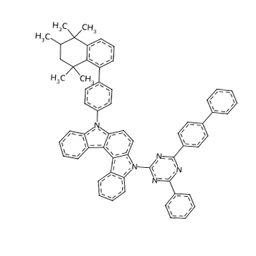 CC1CC(C)(C)c2c(-c3ccc(-n4c5ccccc5c5c6c7ccccc7n(-c7nc(-c8ccccc8)nc(-c8ccc(-c9ccccc9)cc8)n7)c6ccc54)cc3)cccc2C1(C)C